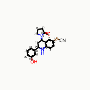 N#CSc1ccc2c(c1)C(N1CCCC1=O)CC(c1cccc(O)c1)N2